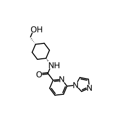 O=C(N[C@H]1CC[C@@H](CO)CC1)c1cccc(-n2ccnc2)n1